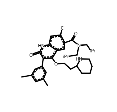 Cc1cc(C)cc(-c2c(OCCC3CCCCN3)c3cc(C(=O)N(CC(C)C)CC(C)C)c(Cl)cc3[nH]c2=O)c1